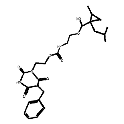 CC(C)CC1(C(O)OCCNC(=O)OCCN2C(=O)NC(=O)C(Cc3ccccc3)C2=O)CC1C